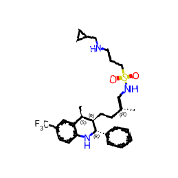 C[C@H](CC[C@@H]1[C@H](C)c2cc(C(F)(F)F)ccc2N[C@H]1c1ccccc1)CNS(=O)(=O)CCCNCC1CC1